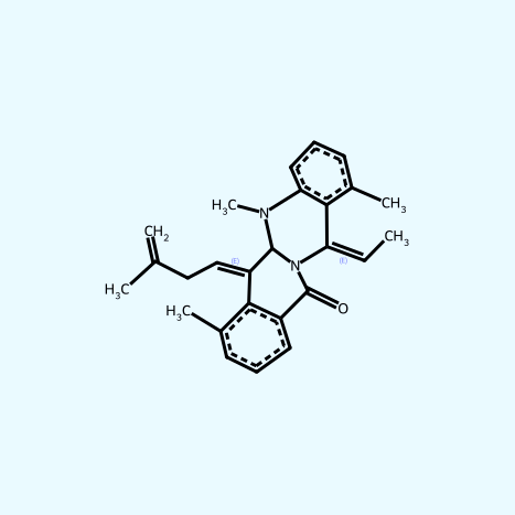 C=C(C)C/C=C1\c2c(C)cccc2C(=O)N2/C(=C/C)c3c(C)cccc3N(C)C12